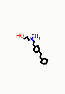 CN(CCCO)CCc1ccc(CCc2ccccc2)cc1